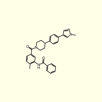 Cc1ccc(C(=O)N2CCC(c3ccc(-c4cnn(C)c4)cc3)CC2)cc1NC(=O)c1ccccc1